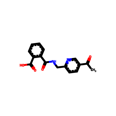 CC(=O)c1ccc(CNC(=O)c2ccccc2C(=O)O)nc1